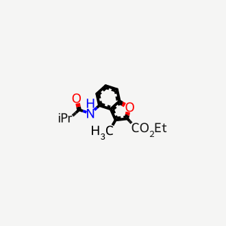 CCOC(=O)c1oc2cccc(NC(=O)C(C)C)c2c1C